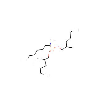 CCCCCCC(N)P(=O)(OCC(CC)CCCC)OCC(CC)CCCC